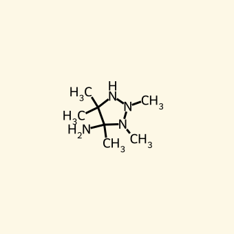 CN1NC(C)(C)C(C)(N)N1C